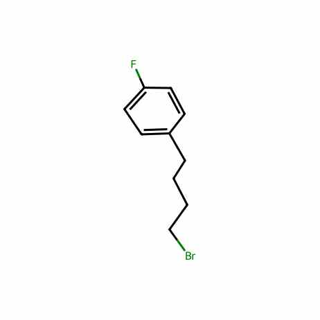 Fc1ccc(CCCCBr)cc1